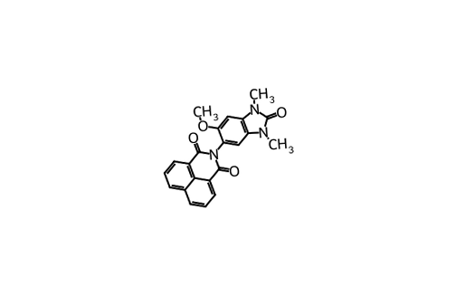 COc1cc2c(cc1N1C(=O)c3cccc4cccc(c34)C1=O)n(C)c(=O)n2C